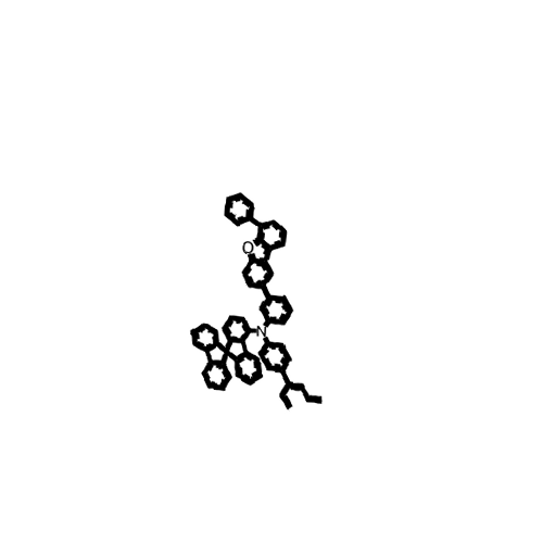 C=C/C=C(\C=C)c1ccc(N(c2cccc(-c3ccc4oc5c(-c6ccccc6)cccc5c4c3)c2)c2cccc3c2-c2ccccc2C32c3ccccc3-c3ccccc32)cc1